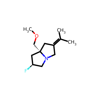 COC[C@]12CC(=C(C)C)CN1C[C@@H](F)C2